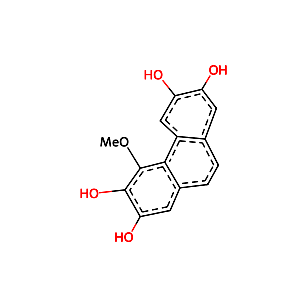 COc1c(O)c(O)cc2ccc3cc(O)c(O)cc3c12